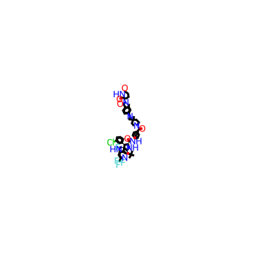 CC(C)(C)C[C@@H]1N[C@@H](C(=O)NC23CCC(C(=O)N4CCC5(CC4)CN(c4ccc6c(c4)CN(C4CCC(=O)NC4=O)C6=O)C5)(CC2)CC3)[C@H](c2cccc(Cl)c2F)[C@]12CNc1cc(C(F)(F)F)ncc12